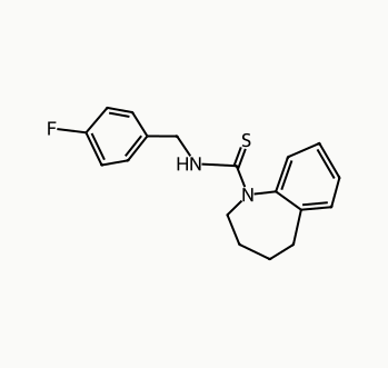 Fc1ccc(CNC(=S)N2CCCCc3ccccc32)cc1